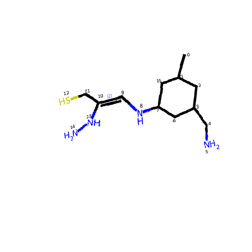 CC1CC(CN)CC(N/C=C(/CS)NN)C1